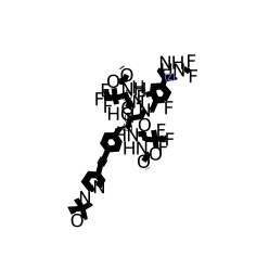 COC(=O)NC(C(=O)N[C@@H](Cc1ccc(C#Cc2ccc(N3CC4(COC4)C3)nc2)cc1)[C@@H](O)CN(Cc1c(F)cc(/C(C=N)=C/NC(F)F)cc1F)NC(=O)[C@@H](NC(=O)OC)C(C)(C)C(F)(F)F)C(C)(C)C(F)(F)F